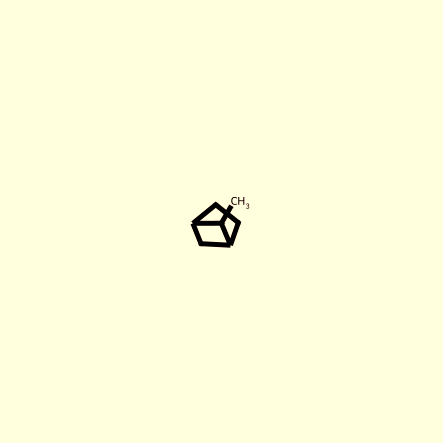 C[C]1C2CCC1C2